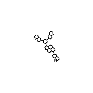 c1cnc2ccc(-c3cc(-c4ccc5ncccc5c4)cc(-c4ccc5ccc6c(-c7ccc8ncccc8c7)ccc7ccc4c5c76)c3)cc2c1